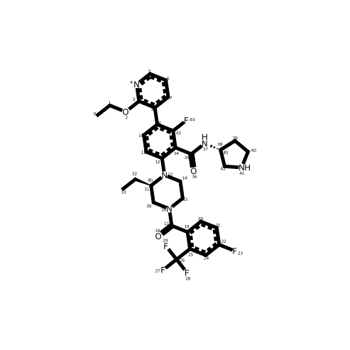 CCOc1ncccc1-c1ccc(N2CCN(C(=O)c3ccc(F)cc3C(F)(F)F)C[C@H]2CC)c(C(=O)N[C@@H]2CCNC2)c1F